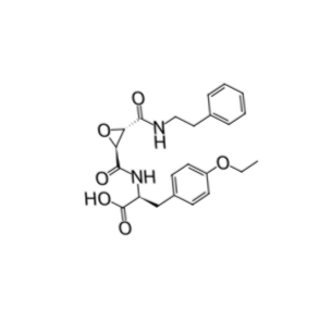 CCOc1ccc(C[C@H](NC(=O)[C@H]2O[C@@H]2C(=O)NCCc2ccccc2)C(=O)O)cc1